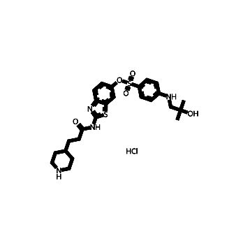 CC(C)(O)CNc1ccc(S(=O)(=O)Oc2ccc3nc(NC(=O)CCC4CCNCC4)sc3c2)cc1.Cl